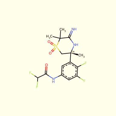 CC1(C)C(=N)N[C@](C)(c2cc(NC(=O)C(F)F)cc(F)c2F)CS1(=O)=O